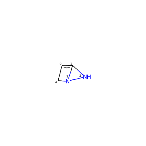 C1=C2NN2C1